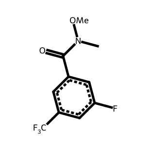 CON(C)C(=O)c1cc(F)cc(C(F)(F)F)c1